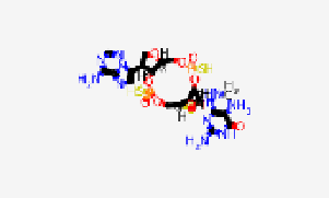 CNN(c1nc(N)[nH]c(=O)c1N)[C@@H]1S[C@@H]2COP(=O)(S)O[C@H]3C(c4cnc5c(N)ncnn45)CO[C@@H]3COP(=O)(S)O[C@@H]1[C@@H]2O